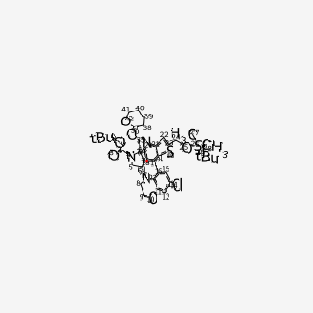 CC(C)(C)OC(=O)N1C[C@@H](N2CCOc3cc(Cl)cc(-c4ccnc5cc(CO[Si](C)(C)C(C)(C)C)sc45)c32)C[C@@H]1COC1CCCCO1